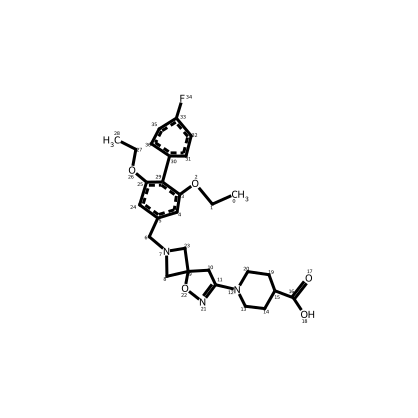 CCOc1cc(CN2CC3(CC(N4CCC(C(=O)O)CC4)=NO3)C2)cc(OCC)c1-c1ccc(F)cc1